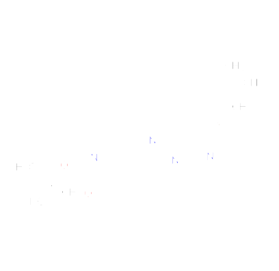 CC(C)(C)Cc1cc2c(N3CCC4(CCN(C(=O)OC(C)(C)C)C4)C3)ncnc2s1